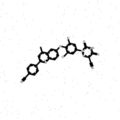 Cc1cc(-c2ccc(C#N)cc2)nc2ccc(Oc3c(Cl)cc(-n4nc(C#N)c(=O)[nH]c4=O)cc3Cl)cc12